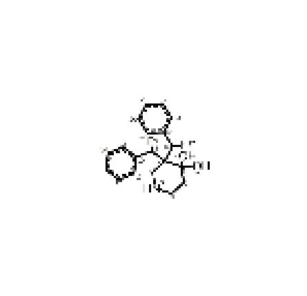 OC1(O)CCNCC1(C(F)c1ccccc1)C(F)c1ccccc1